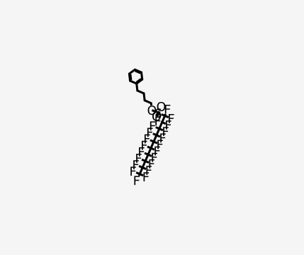 O=S(=O)(OCCCCc1ccccc1)C(F)(F)C(F)(F)C(F)(F)C(F)(F)C(F)(F)C(F)(F)C(F)(F)C(F)(F)C(F)(F)C(F)(F)F